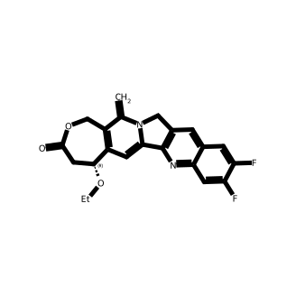 C=C1C2=C(C=C3c4nc5cc(F)c(F)cc5cc4CN13)[C@H](OCC)CC(=O)OC2